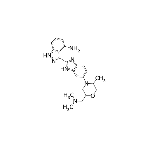 CC1COC(CN(C)C)CN1c1ccc2nc(-c3n[nH]c4cccc(N)c34)[nH]c2c1